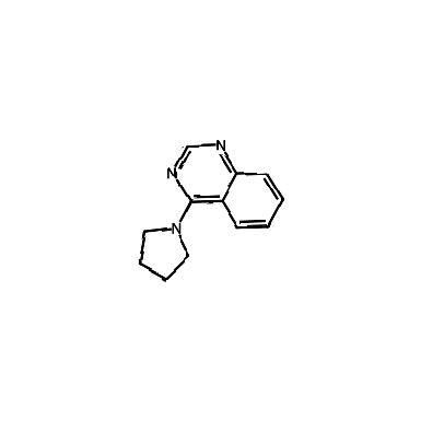 [c]1nc(N2CCCC2)c2ccccc2n1